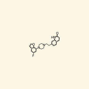 O=c1ccc2ccc(CCN3CCN(c4cc(F)cc5ccoc45)CC3)cc2[nH]1